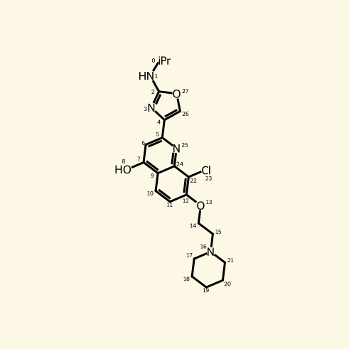 CC(C)Nc1nc(-c2cc(O)c3ccc(OCCN4CCCCC4)c(Cl)c3n2)co1